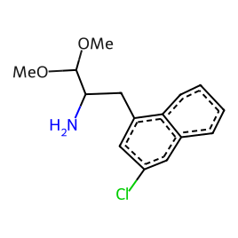 COC(OC)C(N)Cc1cc(Cl)cc2ccccc12